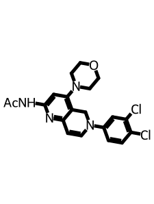 CC(=O)Nc1cc(N2CCOCC2)c2c(n1)C=CN(c1ccc(Cl)c(Cl)c1)C2